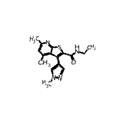 CCNC(=O)c1sc2nc(C)cc(C)c2c1-c1cnn(C)c1